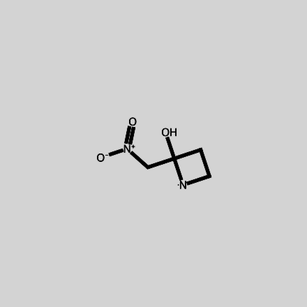 O=[N+]([O-])CC1(O)CC[N]1